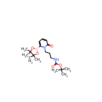 CC(C)(C)OC(=O)NCCCn1c(B2OC(C)(C)C(C)(C)O2)cccc1=O